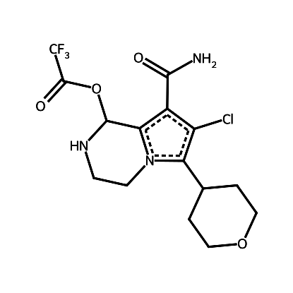 NC(=O)c1c(Cl)c(C2CCOCC2)n2c1C(OC(=O)C(F)(F)F)NCC2